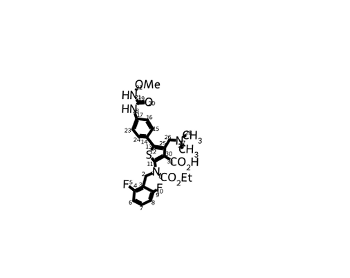 CCOC(=O)N(Cc1c(F)cccc1F)c1sc(-c2ccc(NC(=O)NOC)cc2)c(CN(C)C)c1C(=O)O